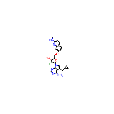 CNc1ccc2ccc(OC[C@H]3O[C@@H](n4cc(CC5CC5)c5c(N)ncnc54)[C@@H](F)[C@@H]3O)cc2n1